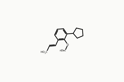 CCCCCCCCCCOc1c(/C=C/C(=O)O)cccc1C1CCCC1